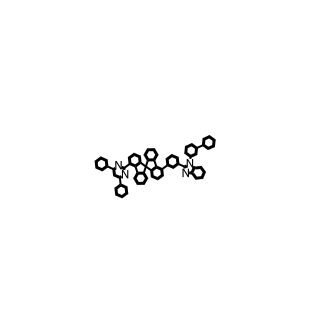 c1ccc(-c2cccc(-n3c(-c4cccc(-c5cccc6c5-c5ccccc5C65c6ccccc6-c6c(-c7nc(-c8ccccc8)cc(-c8ccccc8)n7)cccc65)c4)nc4ccccc43)c2)cc1